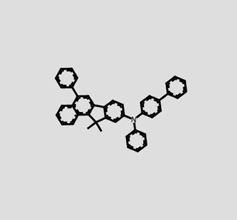 CC1(C)c2cc(N(c3ccccc3)c3ccc(-c4ccccc4)cc3)ccc2-c2cc(-c3ccccc3)c3ccccc3c21